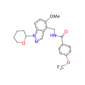 COc1ccc2c(cnn2C2CCCCO2)c1CNC(=O)c1ccc(OC(F)(F)F)cc1